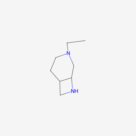 CCN1CCC2CNC2C1